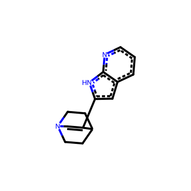 C1=C(c2cc3cccnc3[nH]2)C2CCN1CC2